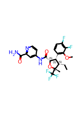 CC[C@H]1[C@@H](c2ccc(F)c(F)c2OC)[C@@H](C(=O)Nc2ccnc(C(N)=O)c2)O[C@@]1(C)C(F)(F)F